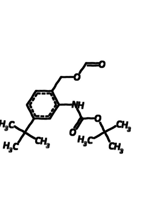 CC(C)(C)OC(=O)Nc1cc(C(C)(C)C)ccc1COC=O